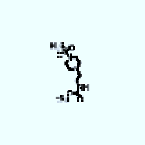 CC(C)(C)OC(=O)NCCN1CCN(S(C)(=O)=O)CC1